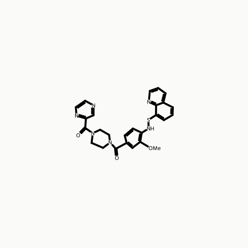 COc1cc(C(=O)N2CCN(C(=O)c3cnccn3)CC2)ccc1NSc1cccc2cccnc12